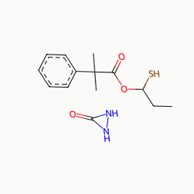 CCC(S)OC(=O)C(C)(C)c1ccccc1.O=C1NN1